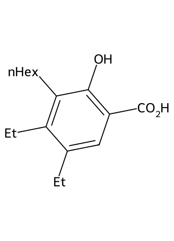 CCCCCCc1c(O)c(C(=O)O)cc(CC)c1CC